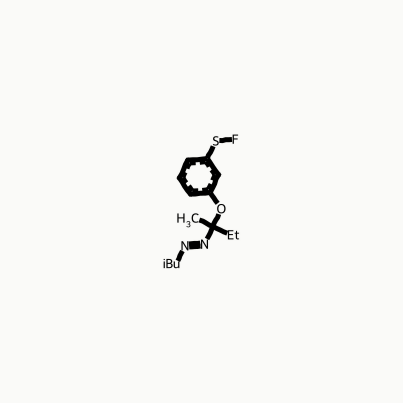 CCC(C)N=NC(C)(CC)Oc1cccc(SF)c1